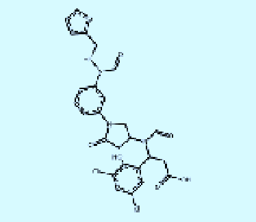 O=CN(NCc1cccs1)c1cccc(N2CC(N(C=O)C(CC(=O)O)c3cc(Cl)cc(Cl)c3O)CC2=O)c1